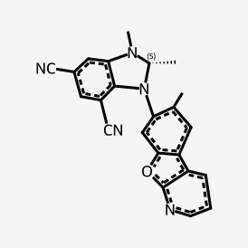 Cc1cc2c(cc1N1c3c(C#N)cc(C#N)cc3N(C)[C@@H]1C)oc1ncccc12